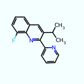 CC(C)c1cc2cccc(F)c2nc1-c1ccccn1